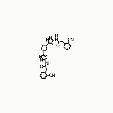 N#Cc1ccccc1CC(=O)Nc1nnc(C2CCC(c3nnc(NC(=O)Cc4ccccc4C#N)s3)C2)s1